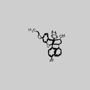 CCOc1ccc2c(c1)O[C@@]1(c3ccc(Br)cc3)[C@H](c3ccccc3)C[C@@H](O)[C@@]21O